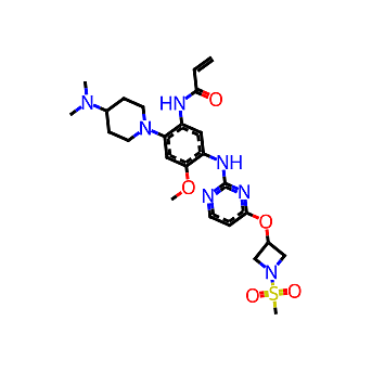 C=CC(=O)Nc1cc(Nc2nccc(OC3CN(S(C)(=O)=O)C3)n2)c(OC)cc1N1CCC(N(C)C)CC1